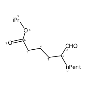 CCCCCC(C=O)CCCC(=O)OC(C)C